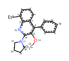 CCc1cccc2c(-c3ccccc3)c(OC(=O)O)c(N3CCCC3)nc12